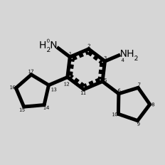 Nc1cc(N)c(C2CCCC2)cc1C1CCCC1